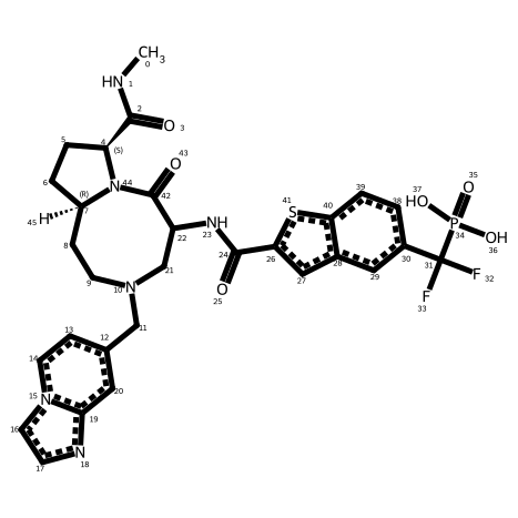 CNC(=O)[C@@H]1CC[C@@H]2CCN(Cc3ccn4ccnc4c3)CC(NC(=O)c3cc4cc(C(F)(F)P(=O)(O)O)ccc4s3)C(=O)N21